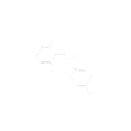 CCCc1ccc(S(=O)(=O)Nc2c(F)cccc2F)cc1